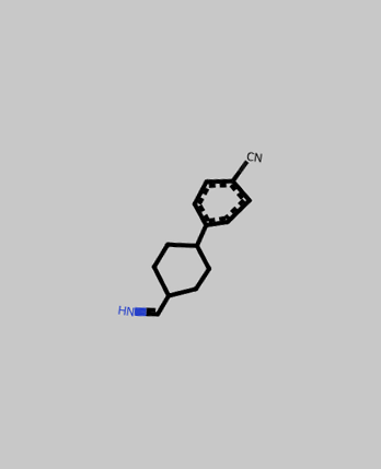 N#Cc1ccc(C2CCC(C=N)CC2)cc1